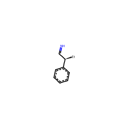 CC[C@H](C=N)c1cc[c]cc1